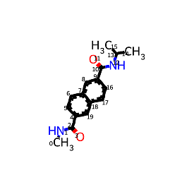 CNC(=O)c1ccc2cc(C(=O)NC(C)C)ccc2c1